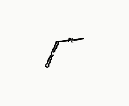 [CH3][Pt][CH]=C=O